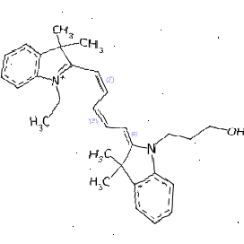 CC[N+]1=C(\C=C/C=C\C=C2\N(CCCO)c3ccccc3C2(C)C)C(C)(C)c2ccccc21